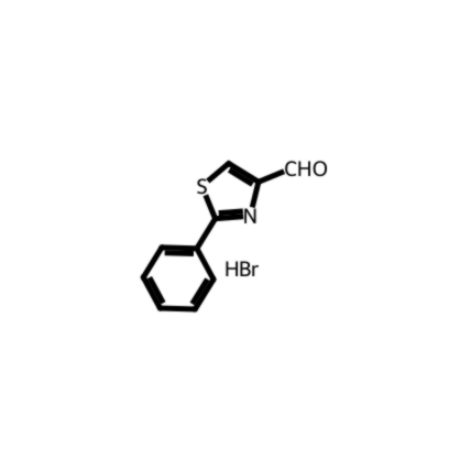 Br.O=Cc1csc(-c2ccccc2)n1